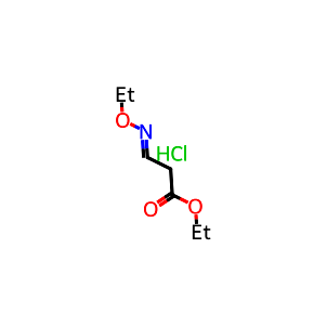 CCO/N=C/CC(=O)OCC.Cl